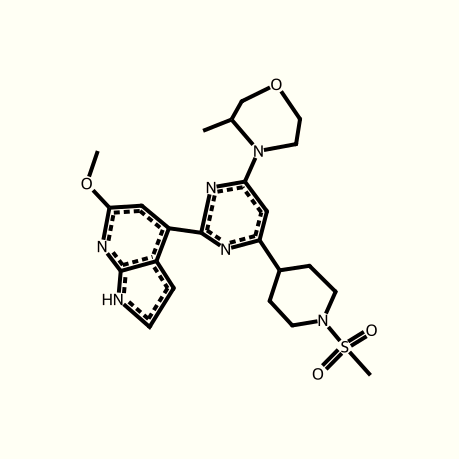 COc1cc(-c2nc(C3CCN(S(C)(=O)=O)CC3)cc(N3CCOCC3C)n2)c2cc[nH]c2n1